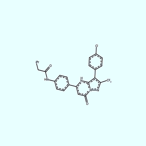 CC(C)CC(=O)Nc1ccc(-c2cc(=O)n3nc(C(F)(F)F)c(-c4ccc(Cl)cc4)c3[nH]2)cc1